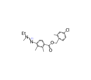 CCN(C)/C=N/c1ccc(C(=O)OCc2ccc(Cl)cc2C)c(C)c1C